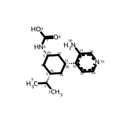 CC(C)[C@@H]1C[C@H](NC(=O)O)C[C@H](c2ccncc2N)C1